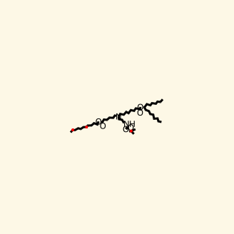 CCCCCCCCCCCOC(=O)CCCCCN(CCCCCCCC(=O)OC(CCCCCCC)CCCCCCCC)CCCNC(=O)OC(C)(C)C